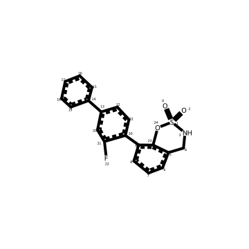 O=S1(=O)NCc2cccc(-c3ccc(-c4ccccc4)cc3F)c2O1